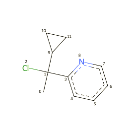 CC(Cl)(c1ccccn1)C1CC1